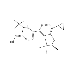 C[C@H](Oc1cc(C(=O)NC(/C(N)=N/O)C(C)(C)C)ncc1C1CC1)C(F)(F)F